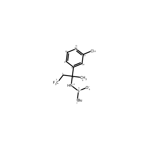 CC(CC(F)(F)F)(N[S+]([O-])C(C)(C)C)c1ccnc(Cl)c1